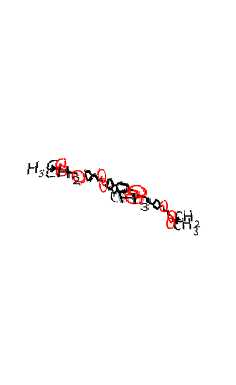 C=C(C)C(=O)OCCCOc1ccc(C=CC(=O)Oc2ccc3c(c2)C(C)c2cc(OC(=O)C=Cc4ccc(OCCCOC(=O)C(=C)C)cc4)ccc2-3)cc1